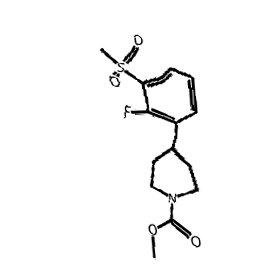 COC(=O)N1CCC(c2cccc(S(C)(=O)=O)c2F)CC1